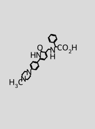 CN1CCN(c2ccc(-c3ccc(CNC(C(=O)O)c4ccccc4)c(=O)[nH]3)cc2)CC1